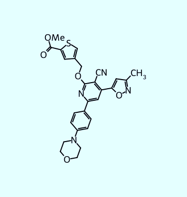 COC(=O)c1cc(COc2nc(-c3ccc(N4CCOCC4)cc3)cc(-c3cc(C)no3)c2C#N)cs1